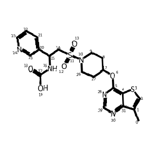 Cc1csc2c(OC3CCN(S(=O)(=O)CC(NC(=O)O)c4cccnc4)CC3)ncnc12